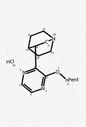 CCCCCOc1nccnc1C1CN2CCC1CC2.Cl